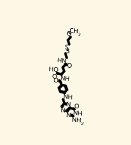 COCCCSSCCNC(=O)CCC(NC(=O)c1ccc(NCc2cnc3nc(N)[nH]c(=O)c3n2)cc1)C(=O)O